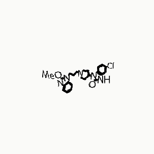 COc1nc2ccccc2n1CCCN1CCC(n2c(=O)[nH]c3cc(Cl)ccc32)CC1